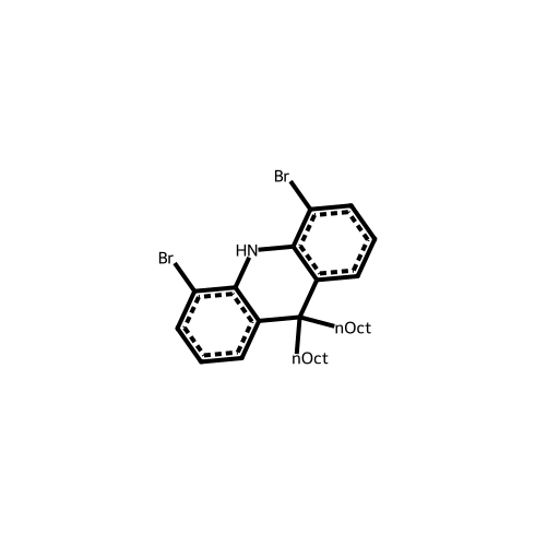 CCCCCCCCC1(CCCCCCCC)c2cccc(Br)c2Nc2c(Br)cccc21